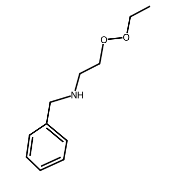 CCOOCCNCc1ccccc1